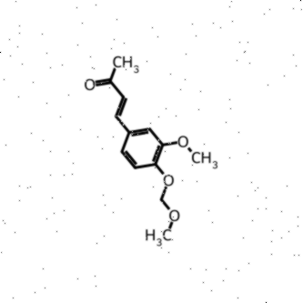 COCOc1ccc(C=CC(C)=O)cc1OC